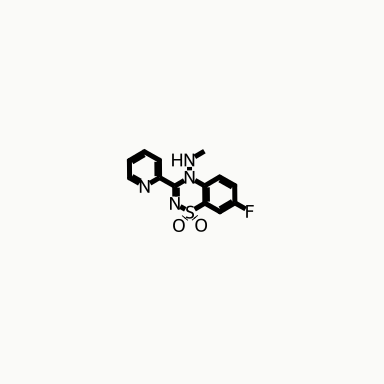 CNN1C(c2ccccn2)=NS(=O)(=O)c2cc(F)ccc21